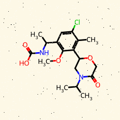 COc1c(C(C)NC(=O)O)cc(Cl)c(C)c1C1CN(C(C)C)C(=O)CO1